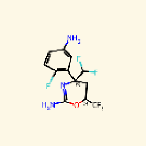 NC1=N[C@@](c2cc(N)ccc2F)(C(F)F)C[C@@H](C(F)(F)F)O1